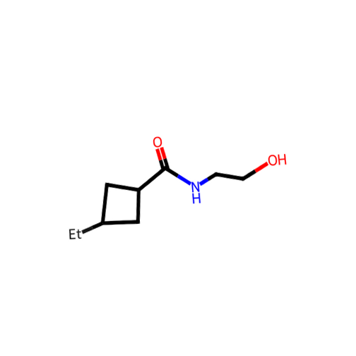 CCC1CC(C(=O)NCCO)C1